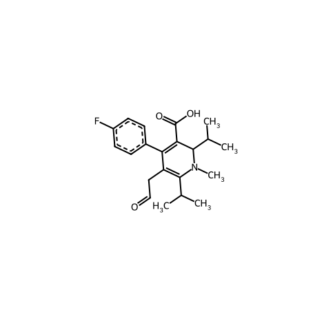 CC(C)C1=C(CC=O)C(c2ccc(F)cc2)=C(C(=O)O)C(C(C)C)N1C